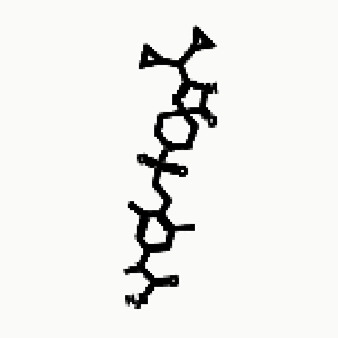 Cc1cc(N(C)C(N)=O)cc(C)c1CCS(=O)(=O)N1CCC2(CC1)N=C(C(C1CC1)C1CC1)NC2=O